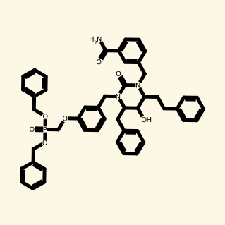 NC(=O)c1cccc(CN2C(=O)N(Cc3cccc(OCP(=O)(OCc4ccccc4)OCc4ccccc4)c3)C(Cc3ccccc3)C(O)C2CCc2ccccc2)c1